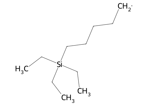 [CH2]CCCC[Si](CC)(CC)CC